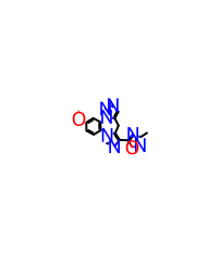 COc1ccc2c(c1)-n1nncc1Cc1c(-c3nc(C)no3)ncn1-2